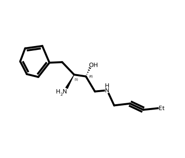 CCC#CCNC[C@@H](O)[C@@H](N)Cc1ccccc1